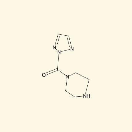 O=C(N1CCNCC1)n1nccn1